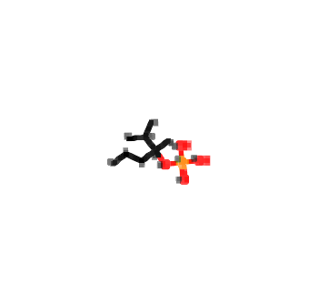 CCCC(C)(OP(=O)(O)O)C(C)C